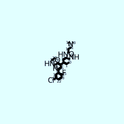 C/C=C(\C=C(/C=N)NC(=O)CCN(C)C)c1cc(-c2cc(Cl)ccc2F)nc2c1OCCN2